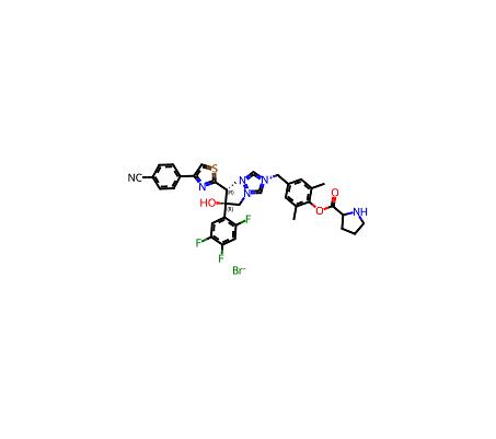 Cc1cc(C[n+]2cnn(C[C@](O)(c3cc(F)c(F)cc3F)[C@@H](C)c3nc(-c4ccc(C#N)cc4)cs3)c2)cc(C)c1OC(=O)C1CCCN1.[Br-]